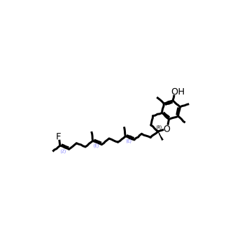 C/C(F)=C/CC/C(C)=C/CC/C(C)=C/CC[C@]1(C)CCc2c(C)c(O)c(C)c(C)c2O1